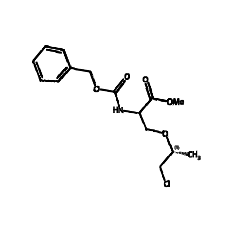 COC(=O)C(CO[C@H](C)CCl)NC(=O)OCc1ccccc1